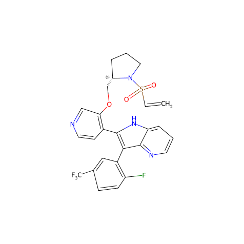 C=CS(=O)(=O)N1CCC[C@H]1COc1cnccc1-c1[nH]c2cccnc2c1-c1cc(C(F)(F)F)ccc1F